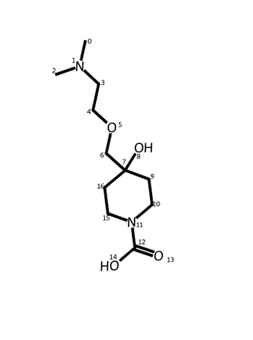 CN(C)CCOCC1(O)CCN(C(=O)O)CC1